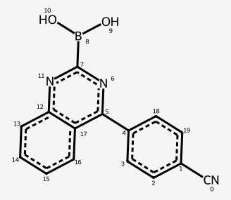 N#Cc1ccc(-c2nc(B(O)O)nc3ccccc23)cc1